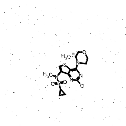 C[C@@H]1COCCN1c1nc(Cl)nc2c(N(C)S(=O)(=O)C3CC3)csc12